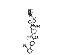 Cc1cccc(C#N)c1-c1ccc(C(=O)N(C2CC2)C2CCC3NN(C(=O)OC(C)(C)CN=[N+]=[N-])C=C3C2)cc1